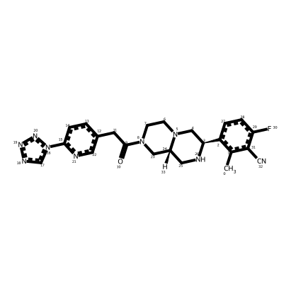 Cc1c([C@@H]2CN3CCN(C(=O)Cc4ccc(-n5cnnn5)nc4)C[C@H]3CN2)ccc(F)c1C#N